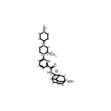 CC(=O)N1CCC(N2CCN(c3cccc(C(=O)N[C@H]4C5CC6CC4C[C@](O)(C6)C5)n3)[C@H](C)C2)CC1